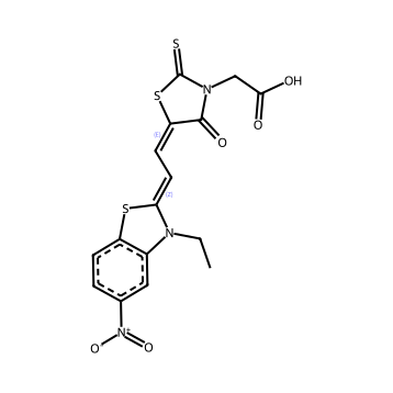 CCN1/C(=C/C=C2/SC(=S)N(CC(=O)O)C2=O)Sc2ccc([N+](=O)[O-])cc21